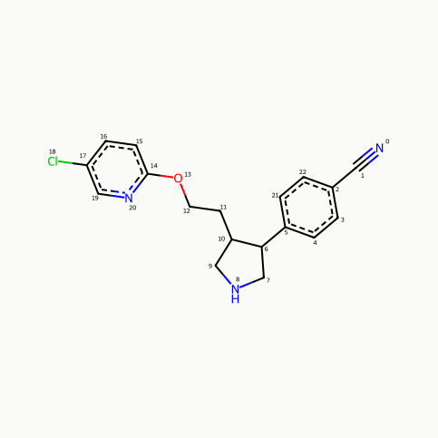 N#Cc1ccc(C2CNCC2CCOc2ccc(Cl)cn2)cc1